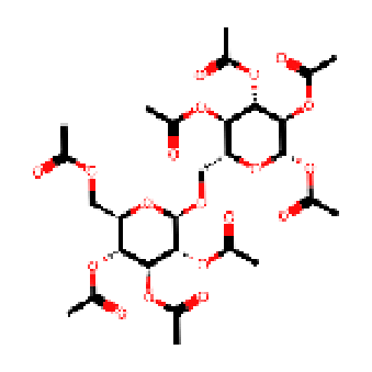 CC(=O)OC[C@H]1O[C@@H](OC[C@H]2O[C@@H](OC(C)=O)[C@H](OC(C)=O)[C@@H](OC(C)=O)[C@@H]2OC(C)=O)[C@H](OC(C)=O)[C@@H](OC(C)=O)[C@@H]1OC(C)=O